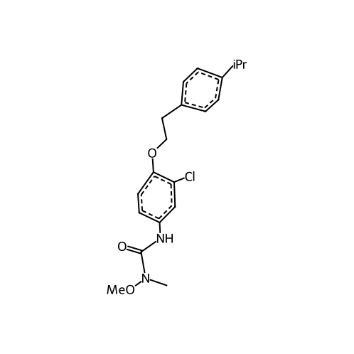 CON(C)C(=O)Nc1ccc(OCCc2ccc(C(C)C)cc2)c(Cl)c1